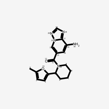 Cc1ccc(C2CCCCN2C(=O)c2cc(N)c3ncnn3c2)o1